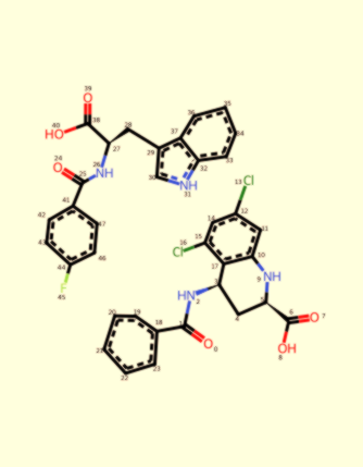 O=C(N[C@@H]1C[C@H](C(=O)O)Nc2cc(Cl)cc(Cl)c21)c1ccccc1.O=C(N[C@H](Cc1c[nH]c2ccccc12)C(=O)O)c1ccc(F)cc1